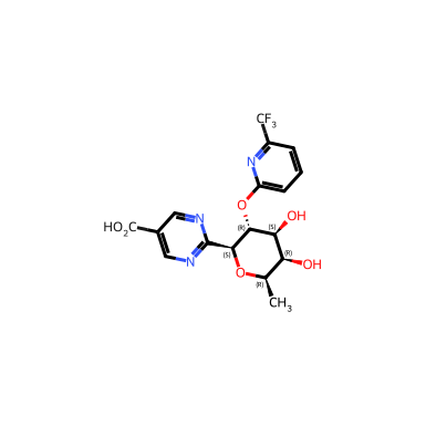 C[C@H]1O[C@@H](c2ncc(C(=O)O)cn2)[C@H](Oc2cccc(C(F)(F)F)n2)[C@@H](O)[C@H]1O